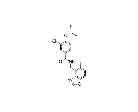 Cc1ccc2ncn(C)c2c1CNC(=O)c1ccc(OC(F)F)c(Cl)c1